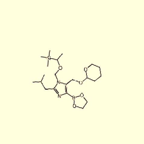 CC(C)Cc1nc(B2OCCO2)c(COC2CCCCO2)n1COC(C)[Si](C)(C)C